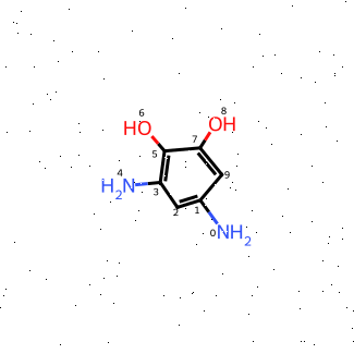 Nc1cc(N)c(O)c(O)c1